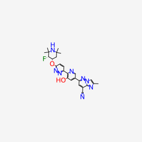 Cc1cn2nc(-c3cnc(-c4ccc(O[C@H]5CC(C)(C)NC(C)(C)[C@H]5F)nn4)c(O)c3)cc(C#N)c2n1